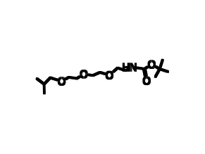 CC(C)COCCOCCOCCNC(=O)OC(C)(C)C